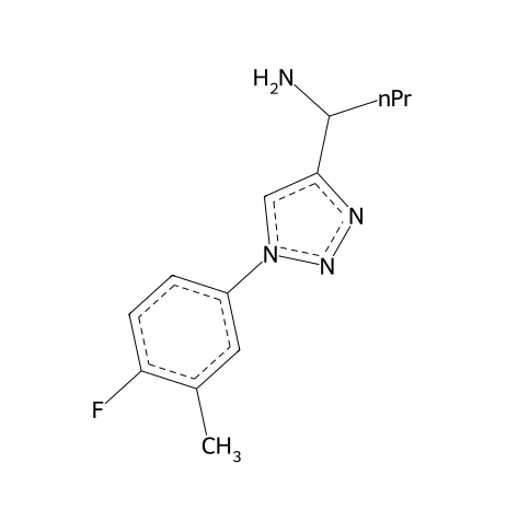 CCCC(N)c1cn(-c2ccc(F)c(C)c2)nn1